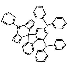 c1ccc(N(c2ccccc2)c2cc(N(c3ccccc3)c3ccccc3)c3c(c2)C2(c4ccccc4-3)c3ccccc3N(c3ccccc3)c3ccccc32)cc1